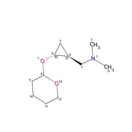 CN(C)C[C@@H]1C[C@H]1OC1CCCCO1